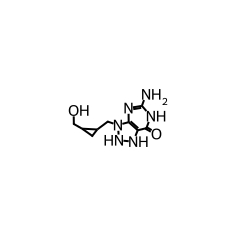 Nc1nc2c(c(=O)[nH]1)NNN2CC1CC1CO